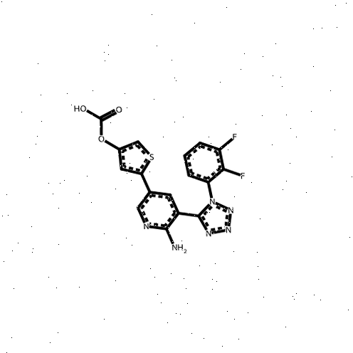 Nc1ncc(-c2cc(OC(=O)O)cs2)cc1-c1nnnn1-c1cccc(F)c1F